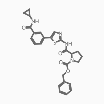 O=C(NC1CC1)c1cccc(-c2cnc(NC(=O)C3CCCN3C(=O)OCc3ccccc3)s2)c1